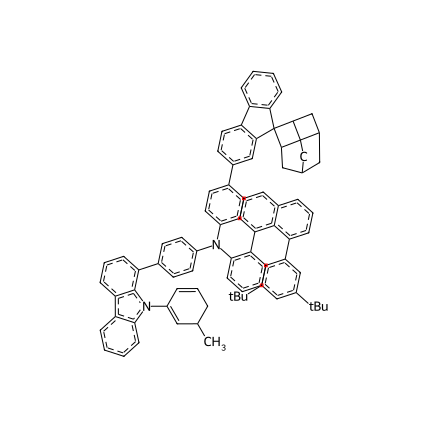 CC1C=C(n2c3ccccc3c3cccc(-c4ccc(N(c5ccc(-c6ccc7c(c6)C6(c8ccccc8-7)C7CC8CC9CC6C97C8)cc5)c5ccccc5-c5cccc6cccc(-c7cc(C(C)(C)C)cc(C(C)(C)C)c7)c56)cc4)c32)C=CC1